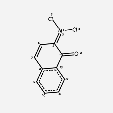 O=C1C(=[N+](Cl)Cl)C=Cc2ccccc21